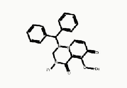 CCCCOc1c2n(ccc1=O)N(C(c1ccccc1)c1ccccc1)CN(C(C)C)C2=O